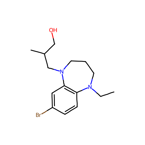 CCN1CCCN(CC(C)CO)c2cc(Br)ccc21